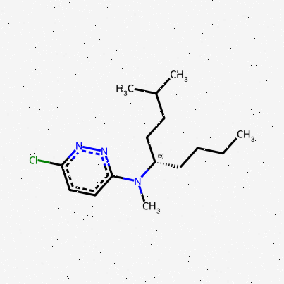 CCCC[C@@H](CCC(C)C)N(C)c1ccc(Cl)nn1